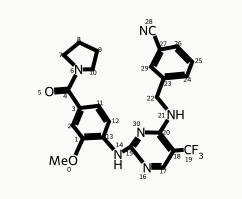 COc1cc(C(=O)N2CCCC2)ccc1Nc1ncc(C(F)(F)F)c(NCc2cccc(C#N)c2)n1